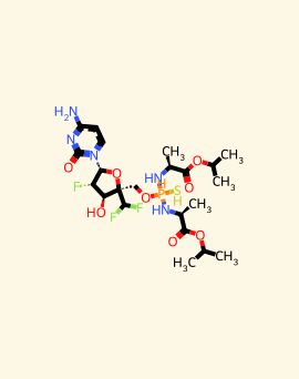 CC(C)OC(=O)[C@H](C)N[PH](S)(N[C@@H](C)C(=O)OC(C)C)OC[C@@]1(C(F)F)O[C@@H](n2ccc(N)nc2=O)[C@@H](F)[C@@H]1O